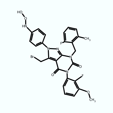 COc1cccc(-n2c(=O)c3c(CBr)n(-c4ccc(NOO)cc4)nc3n(Cc3c(C)cccc3F)c2=O)c1F